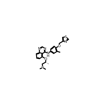 Cc1cc(Nc2ncnc3cccc(O[C@H](C)CN(C)C)c23)ccc1OCc1cscn1